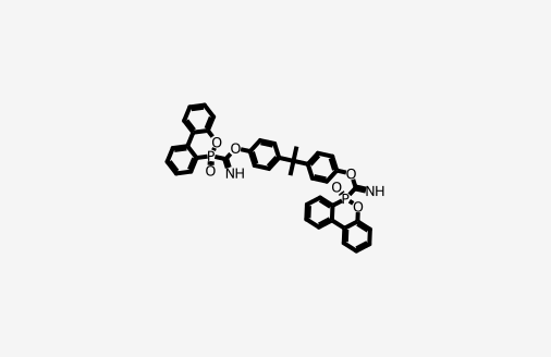 CC(C)(c1ccc(OC(=N)P2(=O)Oc3ccccc3-c3ccccc32)cc1)c1ccc(OC(=N)P2(=O)Oc3ccccc3-c3ccccc32)cc1